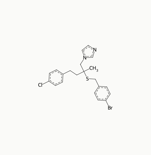 CC(CCc1ccc(Cl)cc1)(Cn1ccnc1)SCc1ccc(Br)cc1